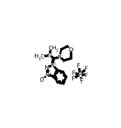 CN(C)C(N1CCOCC1)=[N+]1N=[N+]([O-])c2ccccc21.F[P-](F)(F)(F)(F)F